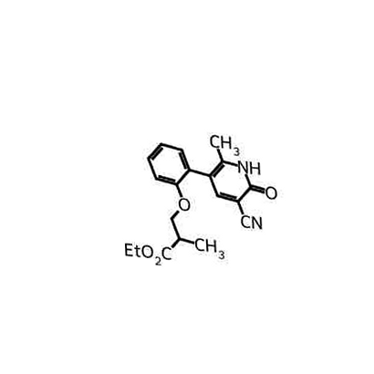 CCOC(=O)C(C)COc1ccccc1-c1cc(C#N)c(=O)[nH]c1C